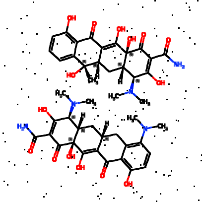 CN(C)[C@@H]1C(O)=C(C(N)=O)C(=O)[C@@]2(O)C(O)=C3C(=O)c4c(O)cccc4[C@@](C)(O)[C@H]3C[C@@H]12.CN(C)c1ccc(O)c2c1C[C@H]1C[C@H]3[C@H](N(C)C)C(O)=C(C(N)=O)C(=O)[C@@]3(O)C(O)=C1C2=O